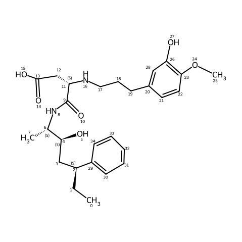 CC[C@@H](C[C@H](O)[C@H](C)NC(=O)[C@H](CC(=O)O)NCCCc1ccc(OC)c(O)c1)c1ccccc1